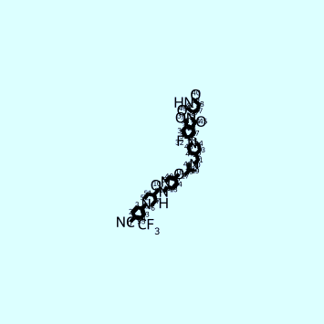 N#Cc1ccc(N2CCC(C(=O)Nc3ccc(OCC4CN(CC5CCN(c6cc7c(cc6F)C(=O)N(C6CCC(=O)NC6=O)C7=O)CC5)C4)cn3)CC2)cc1C(F)(F)F